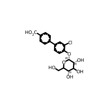 O=C(O)c1ccc(-c2ccc(O[C@H]3OC(CO)[C@@H](O)C(O)[C@H]3O)c(Cl)c2)cc1